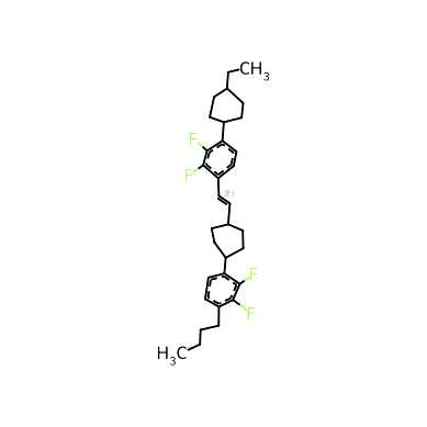 CCCCc1ccc(C2CCC(/C=C/c3ccc(C4CCC(CC)CC4)c(F)c3F)CC2)c(F)c1F